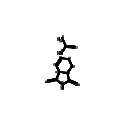 NC(=O)O.O=C1NC(=O)C2CCC=CC12